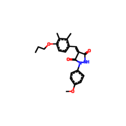 CCCOc1ccc(C=C2C(=O)NN(c3ccc(OC)cc3)C2=O)c(C)c1C